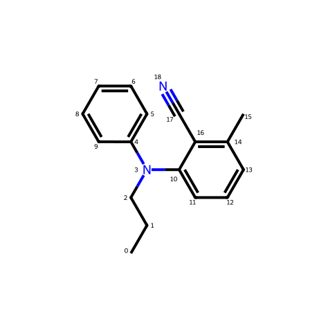 CCCN(c1ccccc1)c1cccc(C)c1C#N